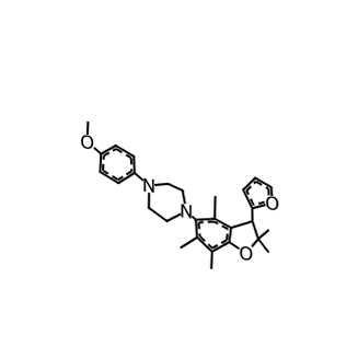 COc1ccc(N2CCN(c3c(C)c(C)c4c(c3C)C(c3ccco3)C(C)(C)O4)CC2)cc1